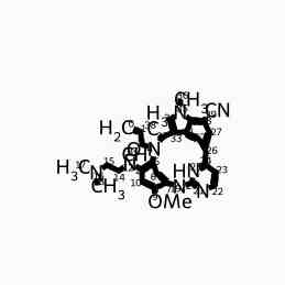 C=CC(=O)N1c2cc(c(OC)cc2N(C)CCN(C)C)Nc2nccc(n2)-c2cc(C#N)c3c(c2)c(cn3C)C1C